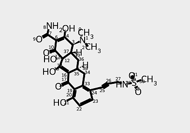 CN(C)[C@@H]1C(O)=C(C(N)=O)C(=O)[C@]2(O)C(O)=C3C(=O)c4c(O)ccc(C#CCNS(C)(=O)=O)c4C[C@@H]3C[C@@H]12